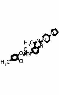 Cc1ccc(OCC(=O)Nc2ccc3nc(N4CCC(N5CCCC5)CC4)nc(C)c3c2)c(Cl)c1